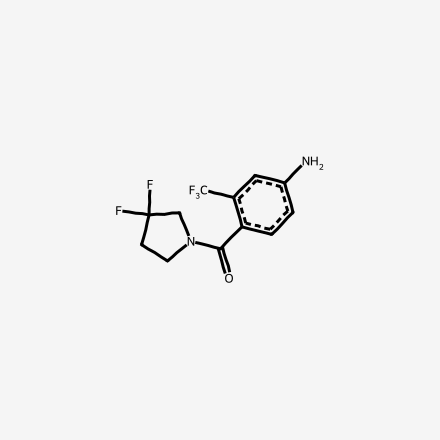 Nc1ccc(C(=O)N2CCC(F)(F)C2)c(C(F)(F)F)c1